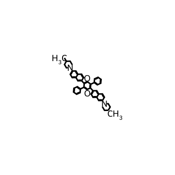 CC1CCN(c2ccc3cc4c(cc3c2)oc2c(-c3ccccc3)c3c(oc5cc6cc(N7CCC(C)CC7)ccc6cc53)c(-c3ccccc3)c24)CC1